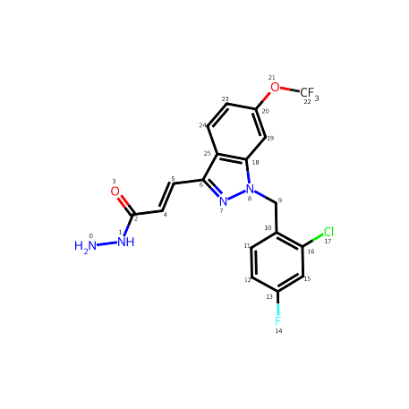 NNC(=O)/C=C/c1nn(Cc2ccc(F)cc2Cl)c2cc(OC(F)(F)F)ccc12